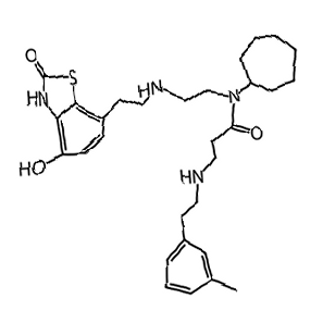 Cc1cccc(CCNCCC(=O)N(CCNCCc2ccc(O)c3[nH]c(=O)sc23)C2CCCCCC2)c1